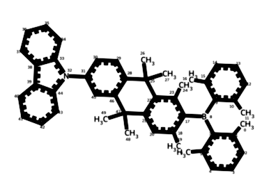 Cc1cccc(C)c1B(c1c(C)cccc1C)c1c(C)cc2c(c1C)C(C)(C)c1ccc(-n3c4ccccc4c4ccccc43)cc1C2(C)C